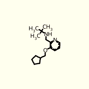 CC(C)(C)NCc1ncccc1OCC1CCCC1